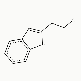 ClCCC1=Cc2ccccc2[CH]1